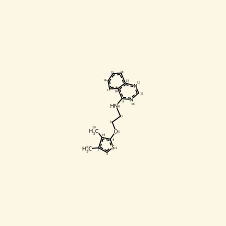 Cc1csc(OCCNc2ncnc3ccccc23)c1C